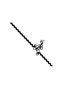 CCCCCCCCCCCCCCCCCCCCCCCC(=O)O[C@H](COC(=O)CCCCCCCCCCCCC)COP(=O)([O-])OCC[N+](C)(C)C